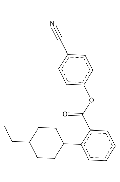 CCC1CCC(c2ccccc2C(=O)Oc2ccc(C#N)cc2)CC1